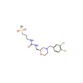 CC(C)S(=O)(=O)CCCNC(=O)NC[C@H]1CN(Cc2ccc(Cl)c(Cl)c2)CCO1